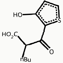 CCCCC(C(=O)O)C(=O)c1sccc1O